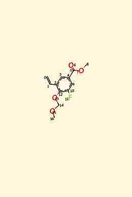 C=Cc1cc(C(=O)OC)cc(F)c1OCOC